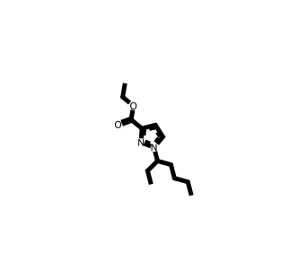 CCCCC(CC)n1ccc(C(=O)OCC)n1